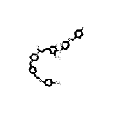 Cc1ccc(OCCc2ccc(CN3CCN(C(=O)C=Cc4cc(C)c(Oc5ccc(OCc6ccc(F)cc6)cn5)c(Cl)c4)CC3)cc2)cc1